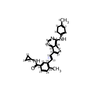 CC1=CC=C(Nc2ncnc3c(/C=C/c4cc(C(=O)NC5CC5)ccc4C)csc23)CC1